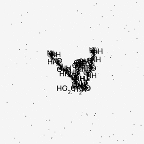 NC(=O)C(CCCCNC(=O)CNC(=O)CCC(=O)NCCc1cnc[nH]1)NC(=O)C(CCC(=O)O)NC(=O)C(CCCCNC(=O)CNC(=O)CCC(=O)NCCc1cnc[nH]1)NC(=O)CNCCCC(O)(P(=O)(O)O)P(=O)(O)O